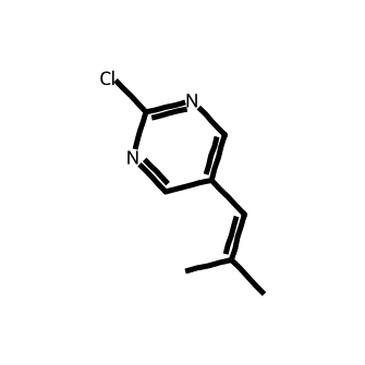 CC(C)=Cc1cnc(Cl)nc1